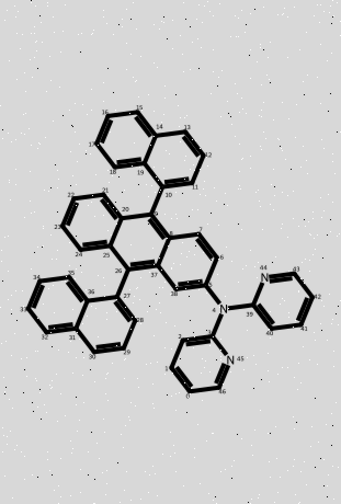 c1ccc(N(c2ccc3c(-c4cccc5ccccc45)c4ccccc4c(-c4cccc5ccccc45)c3c2)c2ccccn2)nc1